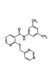 Cc1cc(C)cc(NC(=O)c2cccnc2SCc2ccncn2)c1